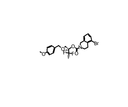 COc1ccc(COC[C@@H](OC(=O)N2CCc3c(Br)cccc3C2)C(F)(F)F)cc1